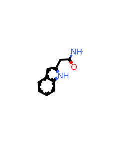 [NH]C(=O)Cc1cc2ccccc2[nH]1